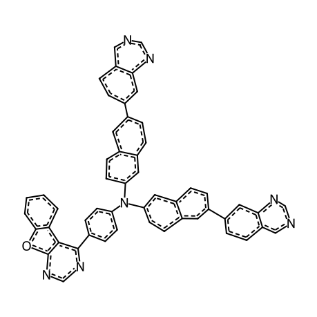 c1ccc2c(c1)oc1ncnc(-c3ccc(N(c4ccc5cc(-c6ccc7cncnc7c6)ccc5c4)c4ccc5cc(-c6ccc7cncnc7c6)ccc5c4)cc3)c12